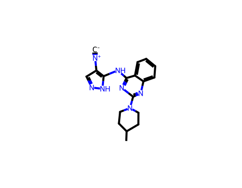 [C-]#[N+]c1cn[nH]c1Nc1nc(N2CCC(C)CC2)nc2ccccc12